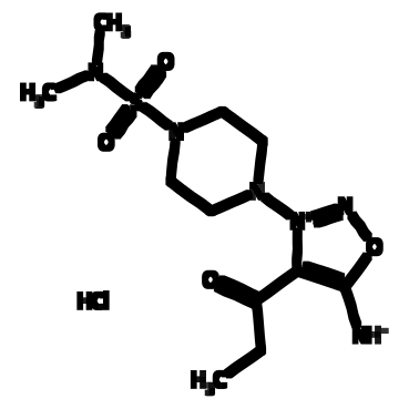 CCC(=O)c1c([NH-])on[n+]1N1CCN(S(=O)(=O)N(C)C)CC1.Cl